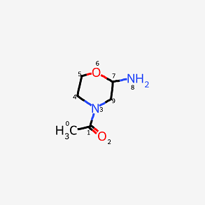 CC(=O)N1CCOC(N)C1